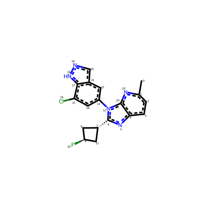 Cc1ccc2nc([C@H]3C[C@H](F)C3)n(-c3cc(Cl)c4[nH]ncc4c3)c2n1